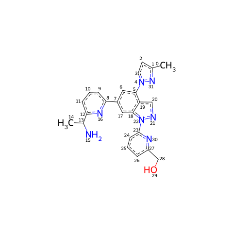 Cc1ccn(-c2cc(-c3cccc(C(C)N)n3)cc3c2cnn3-c2cccc(CO)n2)n1